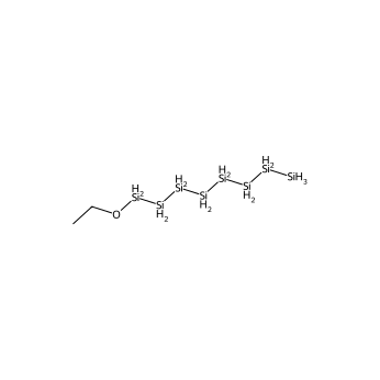 CCO[SiH2][SiH2][SiH2][SiH2][SiH2][SiH2][SiH2][SiH3]